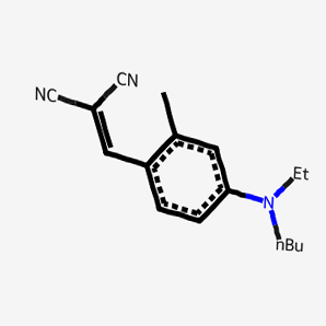 CCCCN(CC)c1ccc(C=C(C#N)C#N)c(C)c1